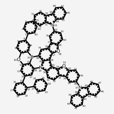 c1ccc(-c2ccc3c(c2)B2c4c(cc(-c5ccccc5-c5ccccc5)cc4-n4c5ccc6c7cc(-n8c9ccccc9c9ccccc98)ccc7oc6c5c5c6oc7ccc(-n8c9ccccc9c9ccccc98)cc7c6cc2c54)O3)cc1